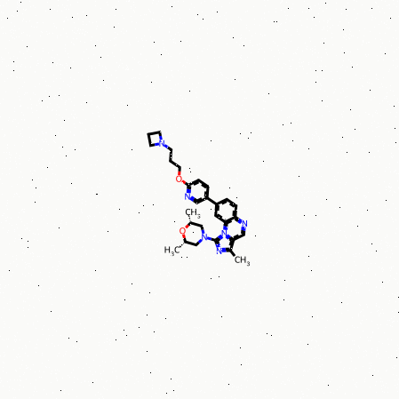 Cc1nc(N2C[C@@H](C)O[C@@H](C)C2)n2c1cnc1ccc(-c3ccc(OCCCN4CCC4)nc3)cc12